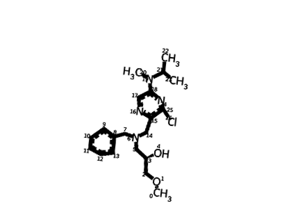 COC[C@H](O)CN(Cc1ccccc1)Cc1ncc(N(C)C(C)C)nc1Cl